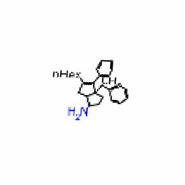 C=C(c1ccccc1)[C@@]12CC[C@H](N)C1CC(CCCCCC)=C2c1ccccc1